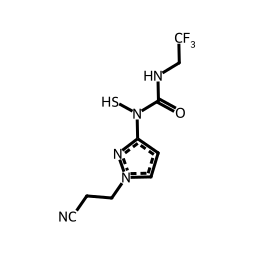 N#CCCn1ccc(N(S)C(=O)NCC(F)(F)F)n1